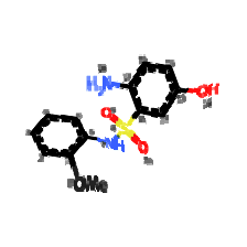 COc1ccccc1NS(=O)(=O)c1cc(O)ccc1N